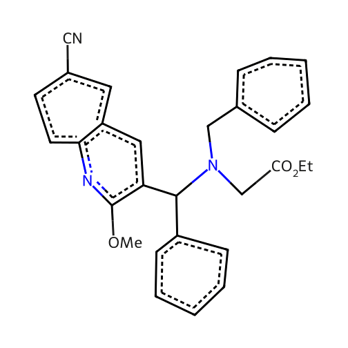 CCOC(=O)CN(Cc1ccccc1)C(c1ccccc1)c1cc2cc(C#N)ccc2nc1OC